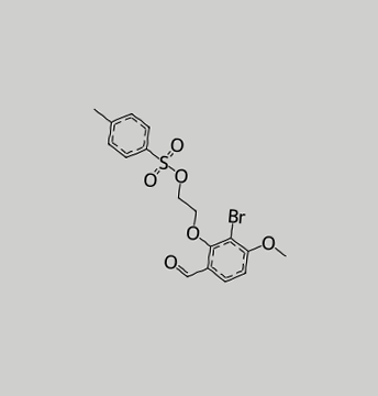 COc1ccc(C=O)c(OCCOS(=O)(=O)c2ccc(C)cc2)c1Br